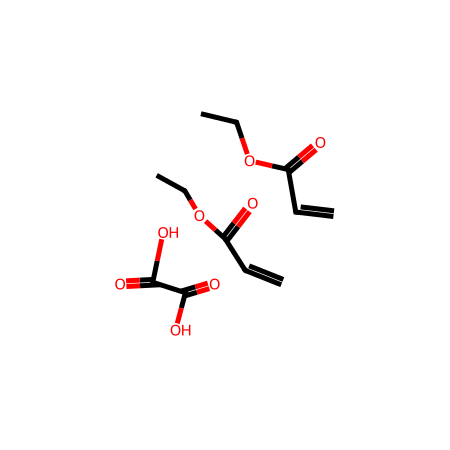 C=CC(=O)OCC.C=CC(=O)OCC.O=C(O)C(=O)O